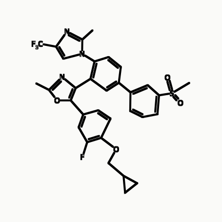 Cc1nc(-c2cc(-c3cccc(S(C)(=O)=O)c3)ccc2-n2cc(C(F)(F)F)nc2C)c(-c2ccc(OCC3CC3)c(F)c2)o1